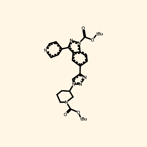 CC(C)(C)OC(=O)N1CCCC(n2cc(-c3ccc4c(c3)c(-c3ccncc3)nn4C(=O)OC(C)(C)C)nn2)C1